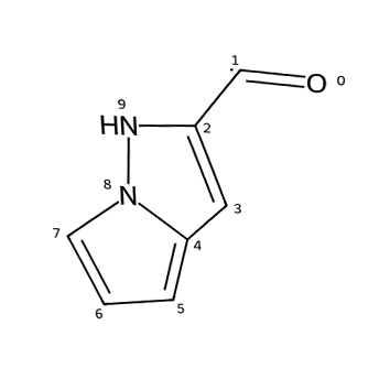 O=[C]c1cc2cccn2[nH]1